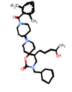 Cc1cccc(C)c1C(=O)N1CCC(N2CCC3(CC2)OC(=O)N(CC2CCCCC2)CC3CCCC(C)O)CC1